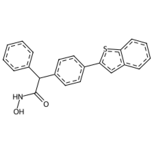 O=C(NO)C(c1ccccc1)c1ccc(-c2cc3ccccc3s2)cc1